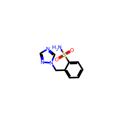 NS(=O)(=O)c1ccccc1Cn1cncn1